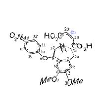 COc1cc2c(cc1OC)C(Oc1ccc([N+](=O)[O-])cc1)CNCC2.O=C(O)/C=C\C(=O)O